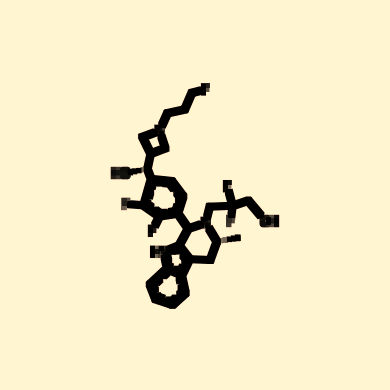 C[C@@H]1Cc2c([nH]c3ccccc23)C(c2ccc([C@H](O)C3CN(CCCF)C3)c(F)c2F)N1CC(F)(F)CO